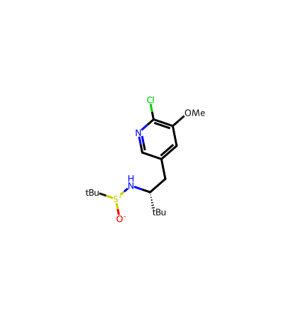 COc1cc(C[C@@H](N[S+]([O-])C(C)(C)C)C(C)(C)C)cnc1Cl